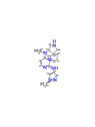 CN(c1ccnc(Nc2cnn(C)c2)n1)C1CNCC12CCCC2